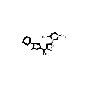 CC(c1ccc(-c2ccccc2)c(F)c1)c1cc(N2CN(C)CN=C2N)no1